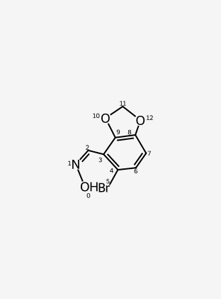 O/N=C\c1c(Br)ccc2c1OCO2